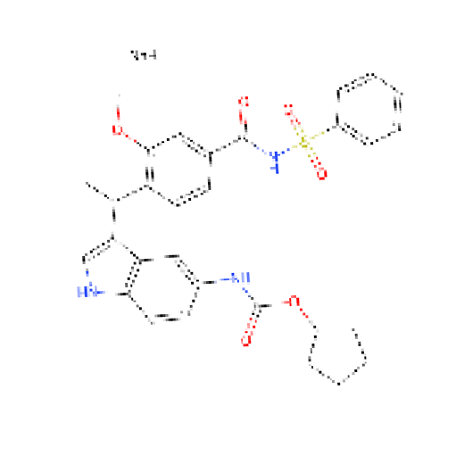 COc1cc(C(=O)NS(=O)(=O)c2ccccc2)ccc1C(C)c1c[nH]c2ccc(NC(=O)OC3CCCC3)cc12.[NaH]